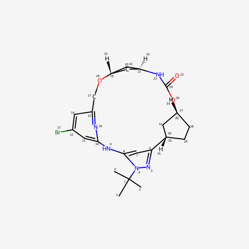 CC(C)(C)n1nc2cc1Nc1cc(Br)cc(n1)CO[C@H]1C[C@@H](C1)NC(=O)O[C@@H]1CC[C@H]2C1